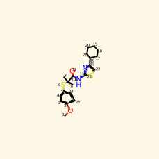 COc1ccc(SC(C)(C)C(=O)Nc2nc(C3CCCCC3)cs2)cc1